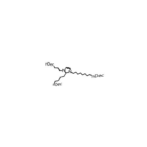 CCCCCCCCCCCCCCCCCCN1C=CN(CCCCCCCCCCCCC)C1CCCCCCCCCCCCCC